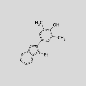 CCn1c(-c2cc(C)c(O)c(C)c2)cc2ccccc21